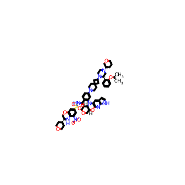 CC(C)Oc1ccccc1[C@@H]1CN([C@@H]2CCCOC2)CCN1C1CC2(CCN(c3ccc(C(=O)NS(=O)(=O)c4cc5c(c([N+](=O)[O-])c4)N[C@H](C4CCOCC4)CO5)c(N4c5cc6cc[nH]c6nc5O[C@H]5COCC[C@@H]54)c3)CC2)C1